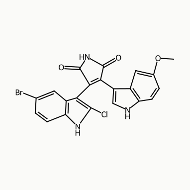 COc1ccc2[nH]cc(C3=C(c4c(Cl)[nH]c5ccc(Br)cc45)C(=O)NC3=O)c2c1